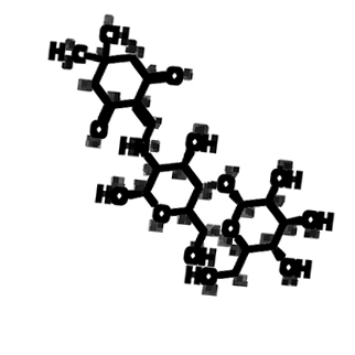 CC1(C)CC(=O)C(=CNC2[C@H](O)OC(CO)[C@@H](O[C@@H]3OC(CO)[C@H](O)[C@H](O)C3O)[C@@H]2O)C(=O)C1